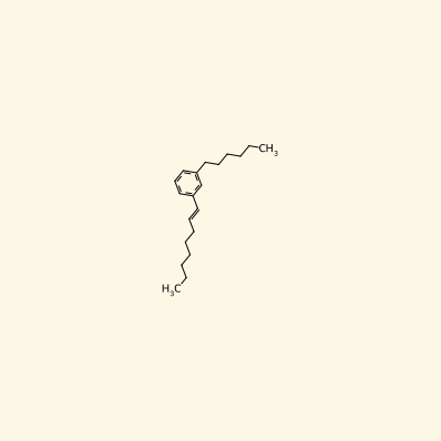 CCCCCCC=Cc1cccc(CCCCCC)c1